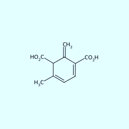 C=C1C(C(=O)O)=CC=C(C)C1C(=O)O